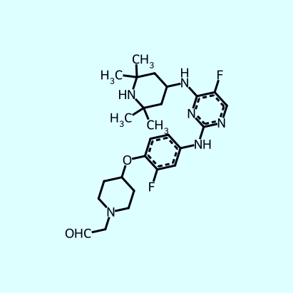 CC1(C)CC(Nc2nc(Nc3ccc(OC4CCN(CC=O)CC4)c(F)c3)ncc2F)CC(C)(C)N1